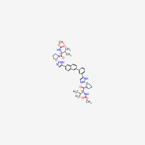 COC(=O)N[C@H](C(=O)N1CCC[C@H]1c1ncc(-c2cccc(-c3ccc4cc(-c5cnc([C@@H]6CCCN6C(=O)[C@@H](NC(=O)OC)C(C)C)[nH]5)ccc4c3)c2)[nH]1)C(C)C